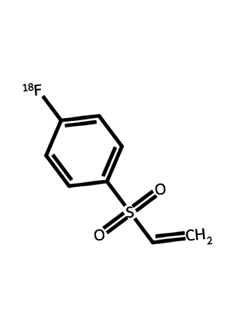 C=CS(=O)(=O)c1ccc([18F])cc1